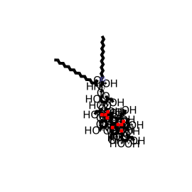 CCCCCCCCCCCCC/C=C/[C@@H](O)[C@H](CO[C@@H]1OC(CO)[C@@H](O[C@@H]2OC(CO)[C@H](O[C@@H]3OC(CO)[C@H](O)[C@H](O[C@@H]4OC(CO)[C@H](O)[C@H](O[C@H]5OC(CO)[C@H](O)[C@H](O)C5O)C4O[C@H]4OC(C)[C@@H](O)C(O)[C@@H]4O)C3NC(C)=O)[C@H](O[C@]3(C(=O)O)CC(O)[C@@H](NC(C)=O)C([C@H](O)[C@H](O)CO)O3)C2O)[C@H](O)C1O)NC(=O)CCCCCCCCCCCCCCC